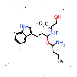 CC(C)CCC(N)OC(CCc1c[nH]c2ccccc12)N[C@@H](CO)C(=O)O